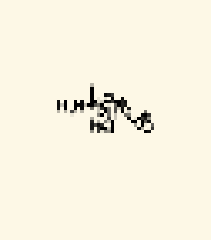 COc1ccc(CCNc2nccc(-c3cccc(C(=O)NCCCN)c3)n2)cc1OC.Cl.Cl